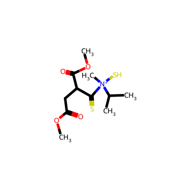 COC(=O)CC(C(=O)OC)C(=S)[N+](C)(S)C(C)C